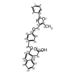 Cc1oc(-c2ccccc2)nc1COc1ccc(COc2ccc3ccccc3c2CC(=O)O)cc1